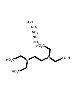 N.N.N.N.O.O=C(O)CN(CCN(CC(=O)O)CC(=O)O)CC(=O)O